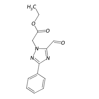 CCOC(=O)Cn1nc(-c2ccccc2)nc1C=O